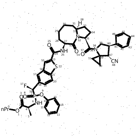 CCCOC(=O)[C@H](C)NP(=O)(Oc1ccccc1)[C@@H](F)c1ccc2sc(C(=O)N[C@H]3CCCC[C@H]4CC[C@@H](C(=O)N5C[C@@H](c6ccccc6)[C@H](C#N)C56CC6)N4C3=O)cc2c1